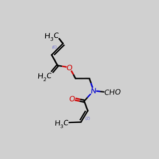 C=C(/C=C/C)OCCN(C=O)C(=O)/C=C\C